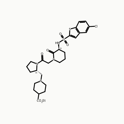 CCOC(=O)C1CCN(C[C@@H]2CCCN2C(=O)CN2CCC[C@H](NS(=O)(=O)c3cc4cc(Cl)ccc4s3)C2=O)CC1